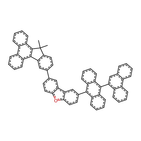 CC1(C)c2ccc(-c3ccc4oc5ccc(-c6c7ccccc7c(-c7cc8ccccc8c8ccccc78)c7ccccc67)cc5c4c3)cc2-c2c1c1ccccc1c1ccccc21